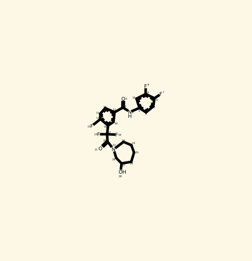 O=C(Nc1ccc(F)c(F)c1)c1ccc(F)c(C(F)(F)C(=O)N2CCCCC(O)C2)c1